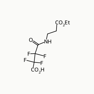 CCOC(=O)CCNC(=O)C(F)(F)C(F)(F)C(=O)O